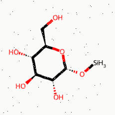 OC[C@H]1O[C@H](O[SiH3])[C@H](O)[C@@H](O)[C@@H]1O